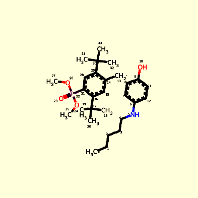 CCCCCNc1ccc(O)cc1.[CH2]c1cc(C(C)(C)C)c(P(=O)(OC)OC)cc1C(C)(C)C